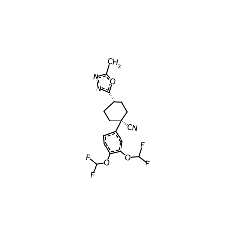 Cc1nnc([C@H]2CC[C@](C#N)(c3ccc(OC(F)F)c(OC(F)F)c3)CC2)o1